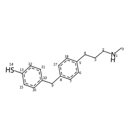 CNCCCc1ccc(Cc2ccc(S)cc2)cc1